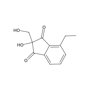 CCc1cccc2c1C(=O)C(O)(CO)C2=O